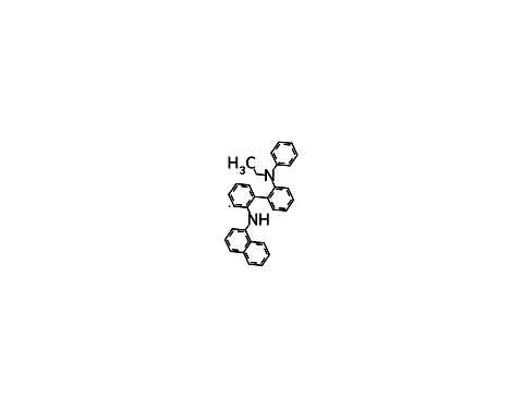 CCN(c1ccccc1)c1ccccc1-c1ccc[c]c1Nc1cccc2ccccc12